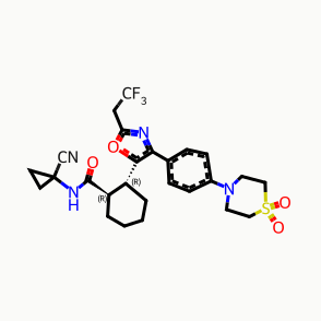 N#CC1(NC(=O)[C@@H]2CCCC[C@H]2c2oc(CC(F)(F)F)nc2-c2ccc(N3CCS(=O)(=O)CC3)cc2)CC1